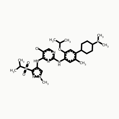 Cc1cc(Nc2ncc(Cl)c(Nc3cn(C)nc3S(=O)(=O)C(C)C)n2)c(OC(C)C)cc1C1CCC(N(C)C)CC1